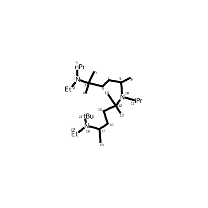 CCCN(CC)C(C)(C)CCC(C)N(C(C)C)C(C)(C)CCC(C)N(CC)C(C)(C)C